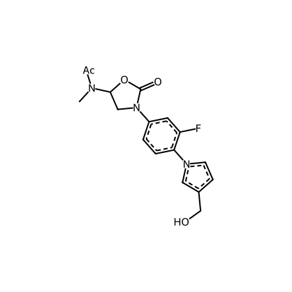 CC(=O)N(C)C1CN(c2ccc(-n3ccc(CO)c3)c(F)c2)C(=O)O1